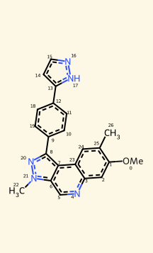 COc1cc2ncc3c(c(-c4ccc(-c5ccn[nH]5)cc4)nn3C)c2cc1C